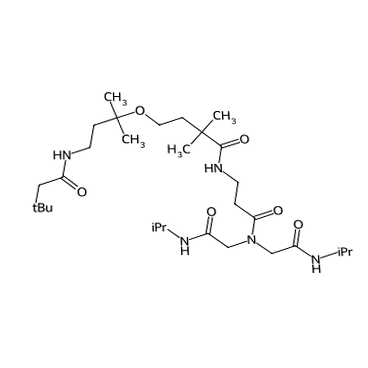 CC(C)NC(=O)CN(CC(=O)NC(C)C)C(=O)CCNC(=O)C(C)(C)CCOC(C)(C)CCNC(=O)CC(C)(C)C